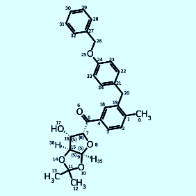 Cc1ccc(C(=O)[C@@H]2O[C@H]3OC(C)(C)O[C@H]3[C@@H]2O)cc1Cc1ccc(OCc2ccccc2)cc1